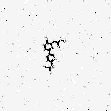 CNC(=O)Cn1nc(-c2ccc(OC(F)F)nc2)ccc1=O